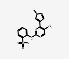 Cn1cc(-c2nc(Nc3ccccc3S(=O)(=O)Cl)ncc2C(F)(F)F)cn1